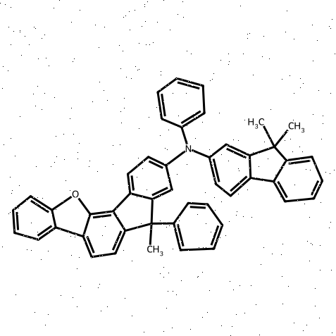 CC1(C)c2ccccc2-c2ccc(N(c3ccccc3)c3ccc4c(c3)C(C)(c3ccccc3)c3ccc5c(oc6ccccc65)c3-4)cc21